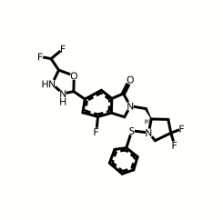 O=C1c2cc(C3NNC(C(F)F)O3)cc(F)c2CN1C[C@H]1CC(F)(F)CN1Sc1ccccc1